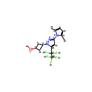 CO[C@H]1C[C@@H](n2nc(-n3c(C)ccc3C)cc2C(F)(F)C(F)(F)F)C1